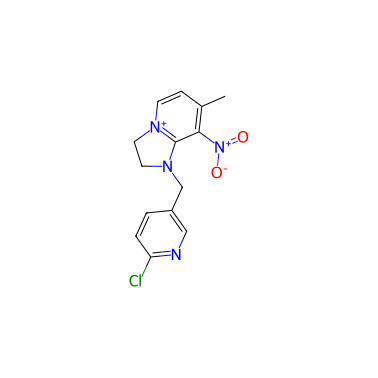 Cc1cc[n+]2c(c1[N+](=O)[O-])N(Cc1ccc(Cl)nc1)CC2